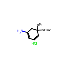 CCCC1(NC(C)=O)C=CC=C(N)C1.Cl